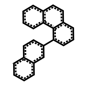 [c]1cccc2cc(-c3cccc4ccc5ccccc5c34)ccc12